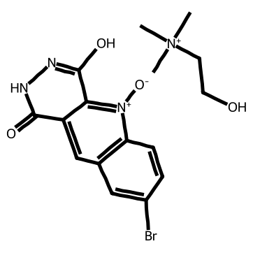 C[N+](C)(C)CCO.O=c1[nH]nc(O)c2c1cc1cc(Br)ccc1[n+]2[O-]